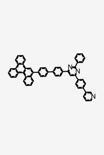 c1ccc(-c2nc(-c3ccc(-c4ccc(-c5cc6c7ccccc7c7ccccc7c6c6ccccc56)cc4)cc3)cc(-c3ccc(-c4cccnc4)cc3)n2)cc1